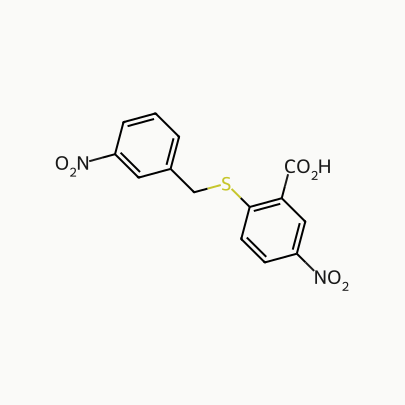 O=C(O)c1cc([N+](=O)[O-])ccc1SCc1cccc([N+](=O)[O-])c1